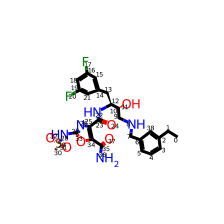 CCc1cccc(CNC[C@@H](O)[C@H](Cc2cc(F)cc(F)c2)NC(=O)c2nc(NS(C)(=O)=O)oc2C(N)=O)c1